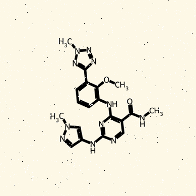 CNC(=O)c1cnc(Nc2cnn(C)c2)nc1Nc1cccc(-c2nnn(C)n2)c1OC